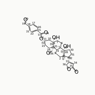 C[C@]12CCC3C(CC[C@]4(O)C[C@@H](OC(=O)c5ccc(C=O)cc5)CC[C@]34C=O)[C@@]1(O)CC[C@@H]2C1=CC(=O)OC1